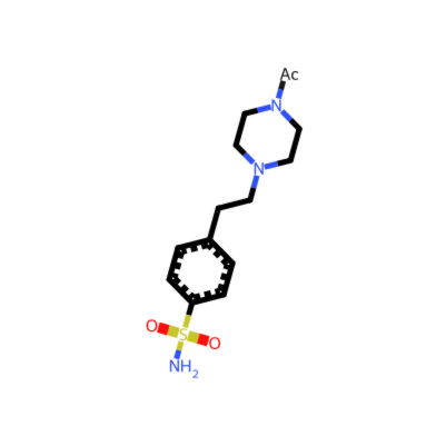 CC(=O)N1CCN(CCc2ccc(S(N)(=O)=O)cc2)CC1